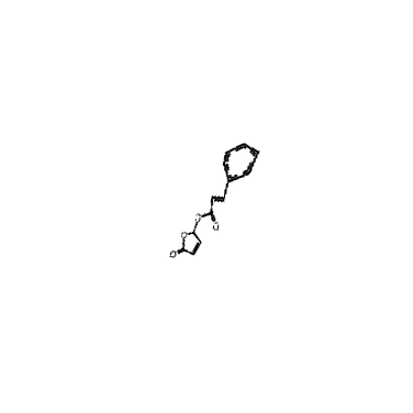 O=C1C=CC(OC(=O)/C=C/c2ccccc2)O1